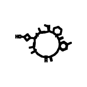 C=C1CCc2ccc(C)cc2C(=C)N2CCCCC2C(=N/C)/C=C(C)/N=C(C2CC(O)C2)\C=C(/C)N(C)CCN1